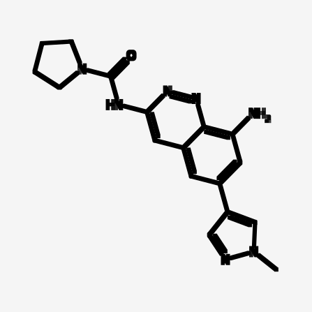 Cn1cc(-c2cc(N)c3nnc(NC(=O)N4CCCC4)cc3c2)cn1